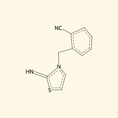 N#Cc1ccccc1Cn1ccsc1=N